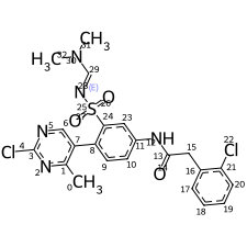 Cc1nc(Cl)ncc1-c1ccc(NC(=O)Cc2ccccc2Cl)cc1S(=O)(=O)/N=C/N(C)C